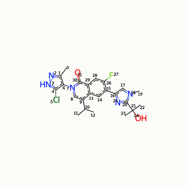 Cc1n[nH]c(Cl)c1-n1cc(C(C)C)c2cc(-c3cn(C)c(C(C)(C)O)n3)c(F)cc2c1=O